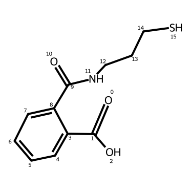 O=C(O)c1ccccc1C(=O)NCCCS